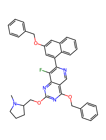 CN1CCCC1COc1nc(OCc2ccccc2)c2cnc(-c3cc(OCc4ccccc4)cc4ccccc34)c(F)c2n1